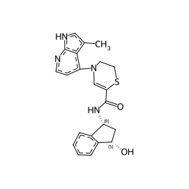 Cc1c[nH]c2nccc(N3C=C(C(=O)N[C@@H]4C[C@H](O)c5ccccc54)SCC3)c12